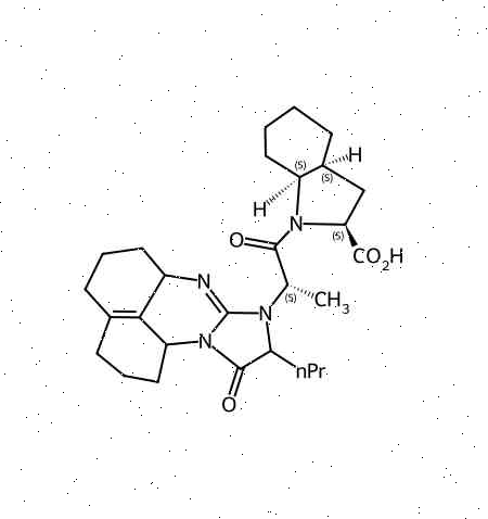 CCCC1C(=O)N2C(=NC3CCCC4=C3C2CCC4)N1[C@@H](C)C(=O)N1[C@H](C(=O)O)C[C@@H]2CCCC[C@@H]21